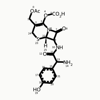 CC(=O)OCC1=C(OC(=O)O)N2C(=O)C(NC(=O)C(N)c3ccc(O)cc3)[C@@H]2SC1